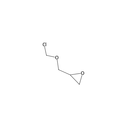 ClCOCC1CO1